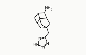 NC1C2CC3CC1CC(Cc1nn[nH]n1)(C3)C2